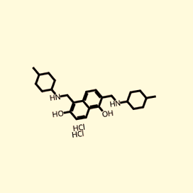 CC1CCC(NCc2ccc3c(CNC4CCC(C)CC4)c(O)ccc3c2O)CC1.Cl.Cl